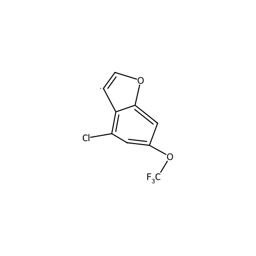 FC(F)(F)Oc1cc(Cl)c2[c]coc2c1